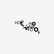 CC[C@H]1CC[C@H](N(C(=O)Nc2ncc(SCCC(=O)O)s2)C2CCCC2)CC1